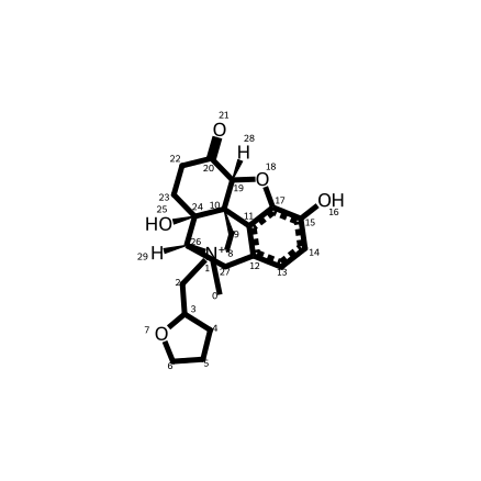 C[N+]1(CC2CCCO2)CC[C@]23c4c5ccc(O)c4O[C@H]2C(=O)CC[C@@]3(O)[C@H]1C5